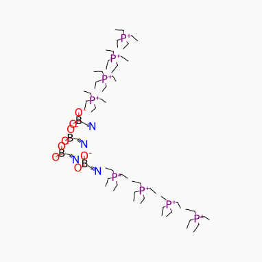 CC[P+](CC)(CC)CC.CC[P+](CC)(CC)CC.CC[P+](CC)(CC)CC.CC[P+](CC)(CC)CC.CC[P+](CC)(CC)CC.CC[P+](CC)(CC)CC.CC[P+](CC)(CC)CC.CC[P+](CC)(CC)CC.N#CB([O-])[O-].N#CB([O-])[O-].N#CB([O-])[O-].N#CB([O-])[O-]